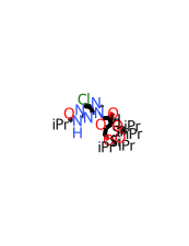 CC(C)C(=O)Nc1nc(Cl)c2ncn([C@@H]3OC4CO[Si](C(C)C)(C(C)C)O[Si](C(C)C)(C(C)C)O[C@H]4C3=O)c2n1